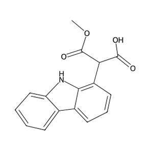 COC(=O)C(C(=O)O)c1cccc2c1[nH]c1ccccc12